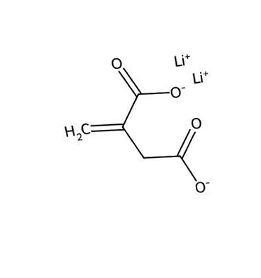 C=C(CC(=O)[O-])C(=O)[O-].[Li+].[Li+]